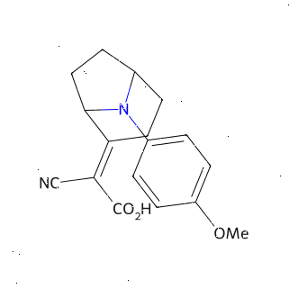 COc1ccc(N2C3CC/C(=C(/C#N)C(=O)O)C2CC3)cc1